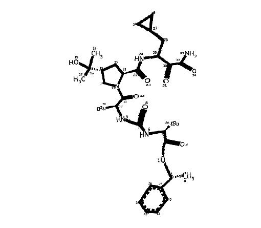 C[C@@H](OC(=O)[C@@H](NC(=O)N[C@H](C(=O)N1C[C@H](C(C)(C)O)C[C@H]1C(=O)NC(CC1CC1)C(=O)C(N)=O)C(C)(C)C)C(C)(C)C)c1ccccc1